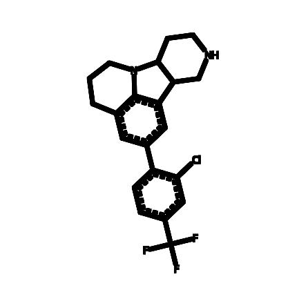 FC(F)(F)c1ccc(-c2cc3c4c(c2)C2CNCCC2N4CCC3)c(Cl)c1